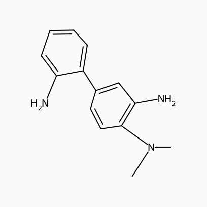 CN(C)c1ccc(-c2ccccc2N)cc1N